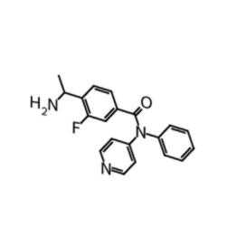 CC(N)c1ccc(C(=O)N(c2ccccc2)c2ccncc2)cc1F